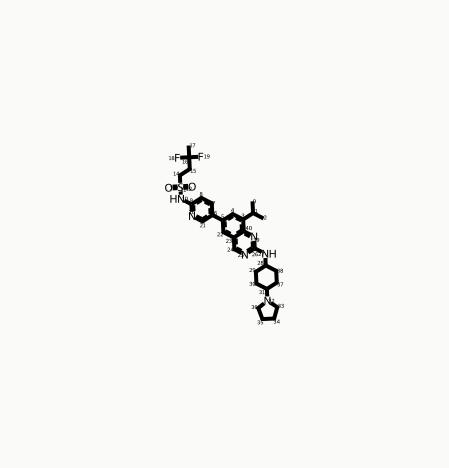 CC(C)c1cc(-c2ccc(NS(=O)(=O)CCC(C)(F)F)nc2)cc2cnc(NC3CCC(N4CCCC4)CC3)nc12